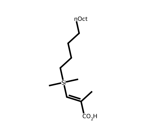 CCCCCCCCCCCC[Si](C)(C)C=C(C)C(=O)O